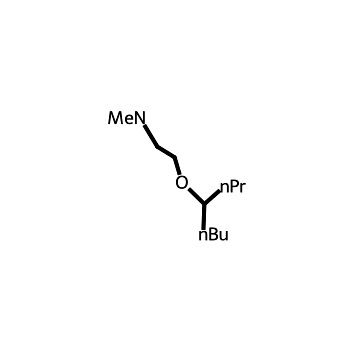 CCCCC(CCC)OCCNC